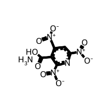 N.O=C(O)c1c([N+](=O)[O-])cc([N+](=O)[O-])nc1[N+](=O)[O-]